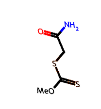 COC(=S)SCC(N)=O